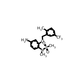 Cc1ccc(C(F)(F)F)cc1COc1cc(N)ccc1N(C)S(C)(=O)=O